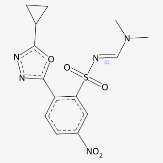 CN(C)/C=N/S(=O)(=O)c1cc([N+](=O)[O-])ccc1-c1nnc(C2CC2)o1